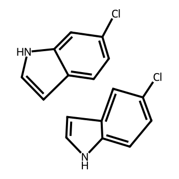 Clc1ccc2[nH]ccc2c1.Clc1ccc2cc[nH]c2c1